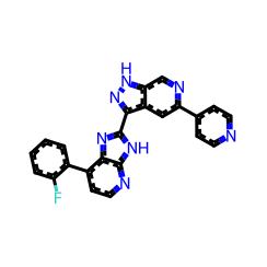 Fc1ccccc1-c1ccnc2[nH]c(-c3n[nH]c4cnc(-c5ccncc5)cc34)nc12